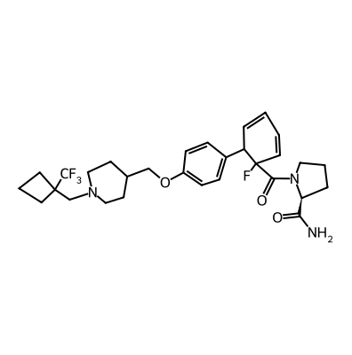 NC(=O)[C@@H]1CCCN1C(=O)C1(F)C=CC=CC1c1ccc(OCC2CCN(CC3(C(F)(F)F)CCC3)CC2)cc1